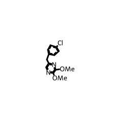 COc1ncc(Cc2ccc(Cl)cc2)nc1OC